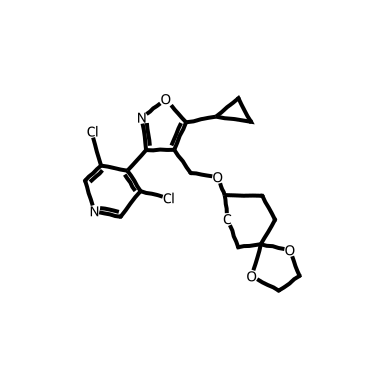 Clc1cncc(Cl)c1-c1noc(C2CC2)c1COC1CCC2(CC1)OCCO2